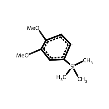 COc1c[c]c([Si](C)(C)C)cc1OC